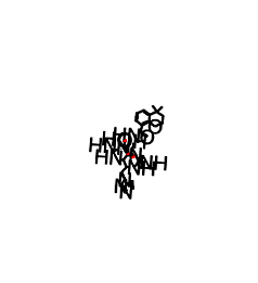 CC1(C)CCOc2c(C(=O)N[C@H]3CN4C(=N)NC(Cn5ccnn5)C5NC(=N)N(O)C54[C@@]3(C)O)cccc21